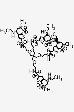 CCN[C@H]1C[C@H](C)S(=O)(=O)c2sc(S(=O)(=O)NCCOCC(COCCNS(=O)(=O)c3cc4c(s3)S(=O)(=O)[C@@H](C)C[C@@H]4NCC)(COCCNS(=O)(=O)c3cc4c(s3)S(=O)(=O)[C@@H](C)C[C@@H]4NCC)COCCNS(=O)(=O)c3cc4c(s3)S(=O)(=O)[C@@H](C)C[C@@H]4NCC)cc21